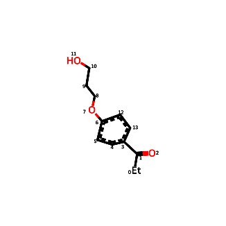 CCC(=O)c1ccc(OCCCO)cc1